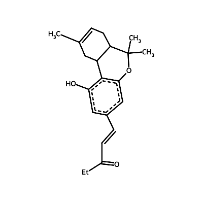 CCC(=O)C=Cc1cc(O)c2c(c1)OC(C)(C)C1CC=C(C)CC21